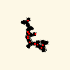 c1ccc(-c2ccc3c(c2)c2c4oc5c(ccc6c5c5ccccc5n6-c5ccc(-c6nc(-c7ccccc7)nc(-c7ccccc7)n6)cc5)c4ccc2n3-c2cccc(-c3ccc(-c4nc(-c5ccccc5)nc(-c5ccc(-n6c7ccccc7c7c8oc9c(ccc%10c9c9cc(-n%11c%12ccccc%12c%12ccccc%12%11)ccc9n%10-c9ccccc9)c8ccc76)cc5)n4)cc3)c2)cc1